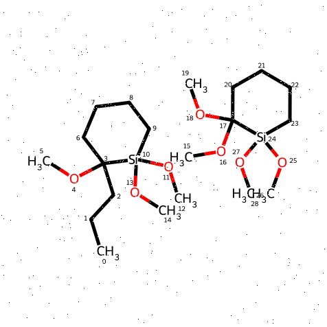 CCCC1(OC)CCCC[Si]1(OC)OC.COC1(OC)CCCC[Si]1(OC)OC